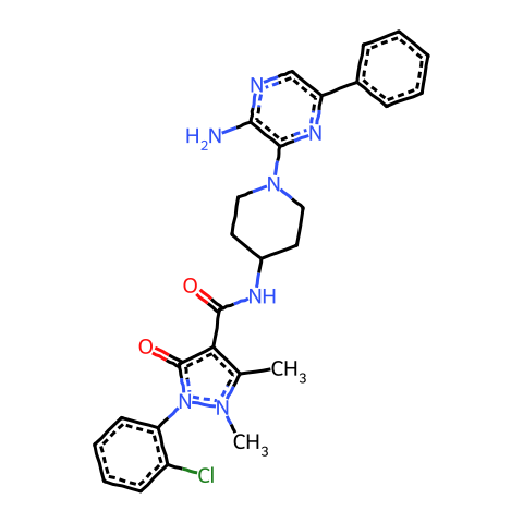 Cc1c(C(=O)NC2CCN(c3nc(-c4ccccc4)cnc3N)CC2)c(=O)n(-c2ccccc2Cl)n1C